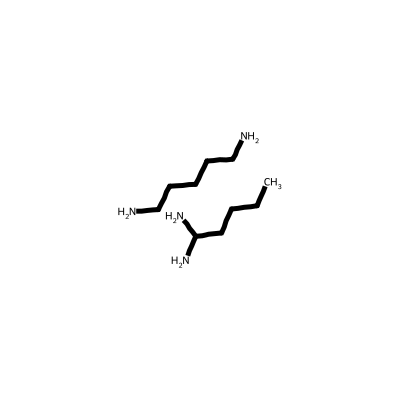 CCCCC(N)N.NCCCCCN